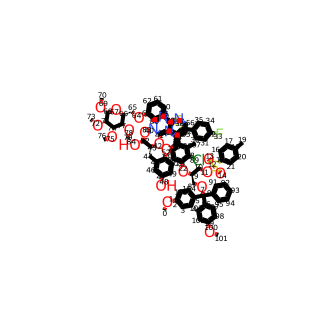 COc1ccc(C(OC[C@H](COS(=O)(=O)c2ccc(C)cc2)Oc2ccc(-c3c(-c4ccc(F)cc4)sc4ncnc(O[C@H](Cc5cc(O)ccc5OCc5ccnc(-c6cccc(OC[C@H]7O[C@H](OC)[C@@H](OC)[C@@H](OC)[C@@H]7OC)c6)n5)C(=O)O)c34)c(C)c2Cl)(c2ccccc2)c2ccc(OC)cc2)cc1